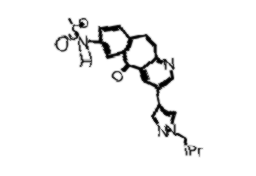 CC(C)Cn1cc(-c2cnc3ccc4ccc(NS(C)(=O)=O)cc4c(=O)c3c2)cn1